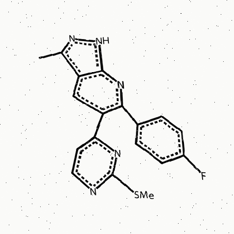 CSc1nccc(-c2cc3c(C)n[nH]c3nc2-c2ccc(F)cc2)n1